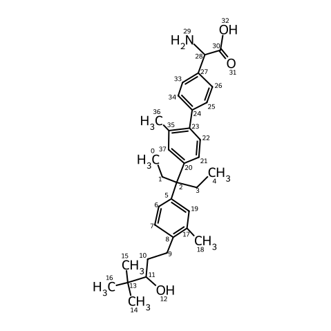 CCC(CC)(c1ccc(CCC(O)C(C)(C)C)c(C)c1)c1ccc(-c2ccc(C(N)C(=O)O)cc2)c(C)c1